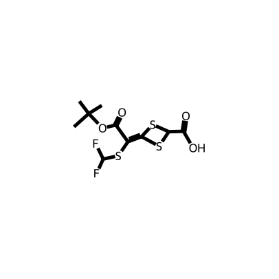 CC(C)(C)OC(=O)C(SC(F)F)=C1SC(C(=O)O)S1